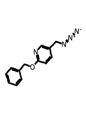 [N-]=[N+]=NCc1ccc(OCc2ccccc2)nc1